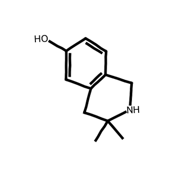 CC1(C)Cc2cc(O)ccc2CN1